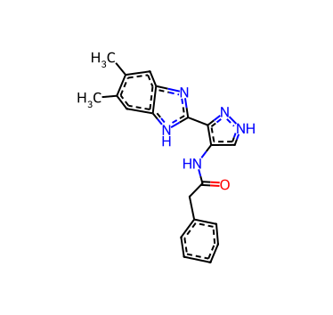 Cc1cc2nc(-c3n[nH]cc3NC(=O)Cc3ccccc3)[nH]c2cc1C